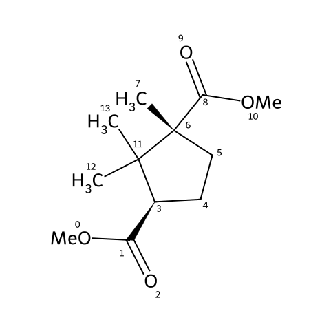 COC(=O)[C@@H]1CC[C@@](C)(C(=O)OC)C1(C)C